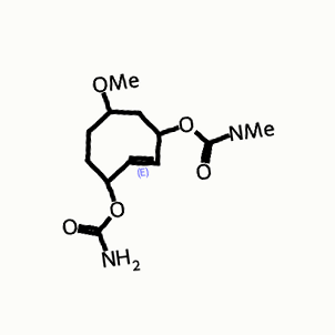 CNC(=O)OC1/C=C/C(OC(N)=O)CCC(OC)C1